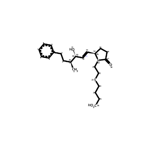 C[C@@H](CCc1ccccc1)[C@H](O)/C=C/[C@H]1CCC(=O)N1CCSCCCC(=O)O